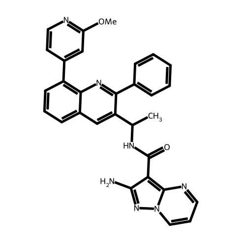 COc1cc(-c2cccc3cc(C(C)NC(=O)c4c(N)nn5cccnc45)c(-c4ccccc4)nc23)ccn1